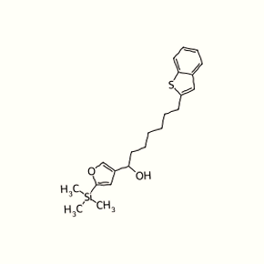 C[Si](C)(C)c1cc(C(O)CCCCCCc2cc3ccccc3s2)co1